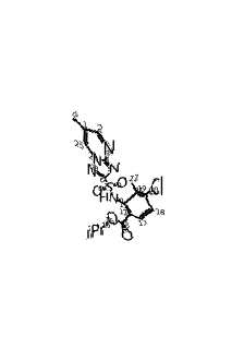 Cc1cnc2nc(S(=O)(=O)Nc3c(C(=O)OC(C)C)ccc(Cl)c3C)nn2c1